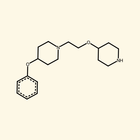 c1ccc(OC2CCN(CCOC3CCNCC3)CC2)cc1